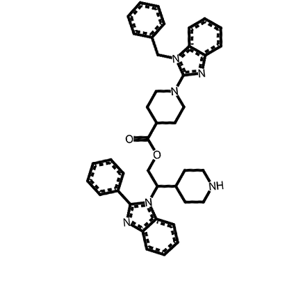 O=C(OCC(C1CCNCC1)n1c(-c2ccccc2)nc2ccccc21)C1CCN(c2nc3ccccc3n2Cc2ccccc2)CC1